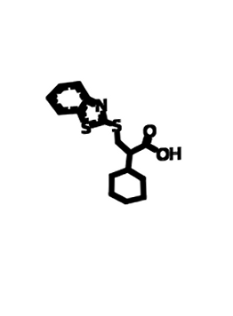 O=C(O)C(CSc1nc2ccccc2s1)C1CCCCC1